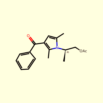 CC(=O)OC[C@@H](C)n1c(C)cc(C(=O)c2ccccc2)c1C